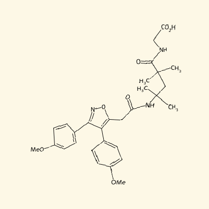 COc1ccc(-c2noc(CC(=O)NC(C)(C)CC(C)(C)C(=O)NCC(=O)O)c2-c2ccc(OC)cc2)cc1